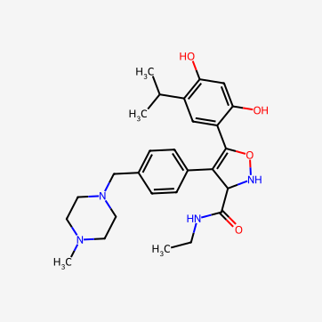 CCNC(=O)C1NOC(c2cc(C(C)C)c(O)cc2O)=C1c1ccc(CN2CCN(C)CC2)cc1